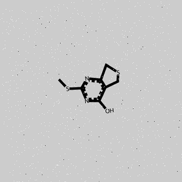 CSc1nc(O)c2c(n1)CSC2